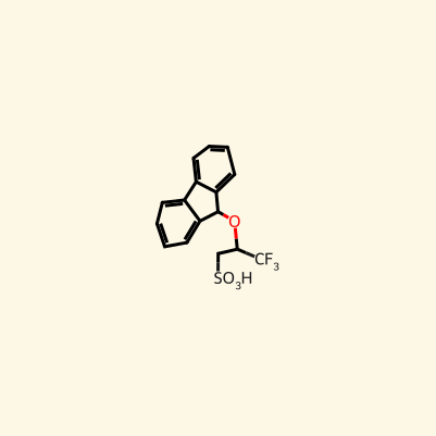 O=S(=O)(O)CC(OC1c2ccccc2-c2ccccc21)C(F)(F)F